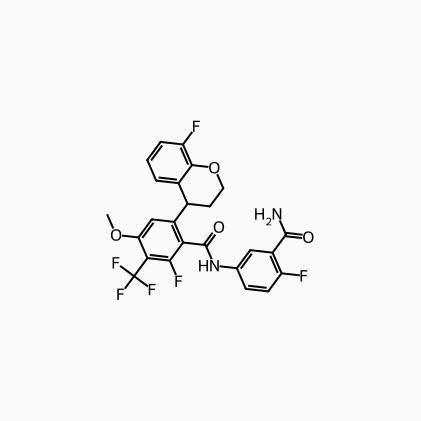 COc1cc(C2CCOc3c(F)cccc32)c(C(=O)Nc2ccc(F)c(C(N)=O)c2)c(F)c1C(F)(F)F